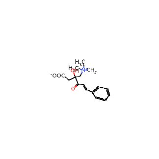 C[N+](C)(C)CC(O)(CC(=O)[O-])C(=O)C=Cc1ccccc1